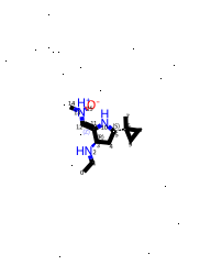 CCN[C@@H]1C[C@@H](C2(C)CC2)N/C1=C\[NH+](C)[O-]